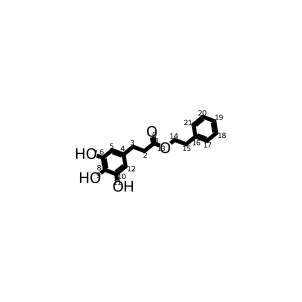 O=C(CCc1cc(O)c(O)c(O)c1)OCCc1ccccc1